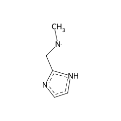 C[N]Cc1ncc[nH]1